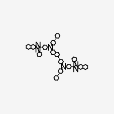 c1ccc(-c2ccc(N(c3ccc(-c4ccc5cc(N(c6ccc(-c7ccccc7)cc6)c6ccc(-c7nc8cc9ccccc9cc8n7-c7ccccc7)cc6)ccc5c4)cc3)c3ccc(-c4nc5cc6ccccc6cc5n4-c4ccccc4)cc3)cc2)cc1